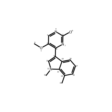 COc1cnc(Cl)nc1-c1cn(C)c2c(C)cccc12